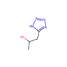 CC(O)Cc1nnn[nH]1